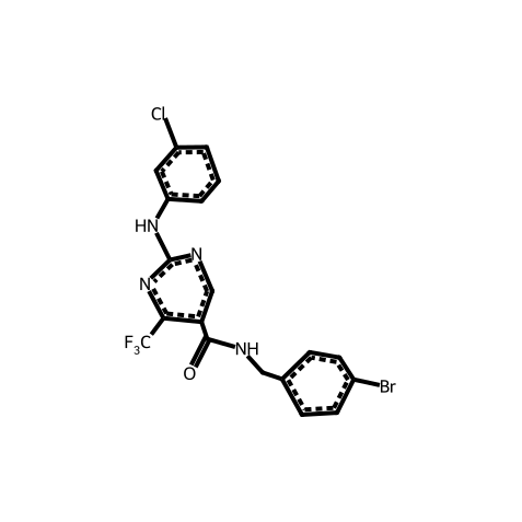 O=C(NCc1ccc(Br)cc1)c1cnc(Nc2cccc(Cl)c2)nc1C(F)(F)F